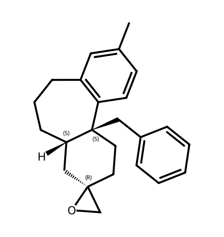 Cc1ccc2c(c1)CCC[C@H]1C[C@]3(CC[C@@]21Cc1ccccc1)CO3